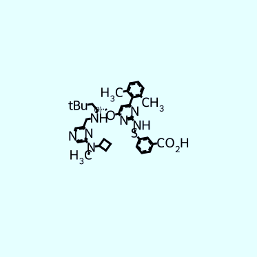 Cc1cccc(C)c1-c1cc(OC[C@@H](CC(C)(C)C)NCc2cncc(N(C)C3CCC3)n2)nc(NSc2cccc(C(=O)O)c2)n1